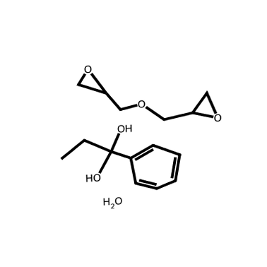 C(OCC1CO1)C1CO1.CCC(O)(O)c1ccccc1.O